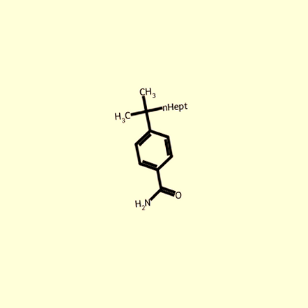 CCCCCCCC(C)(C)c1ccc(C(N)=O)cc1